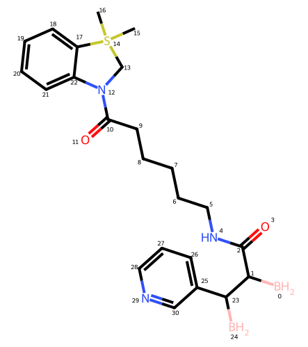 BC(C(=O)NCCCCCC(=O)N1CS(C)(C)c2ccccc21)C(B)c1cccnc1